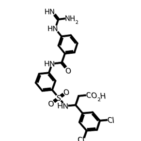 N=C(N)Nc1cccc(C(=O)Nc2cccc(S(=O)(=O)NC(CC(=O)O)c3cc(Cl)cc(Cl)c3)c2)c1